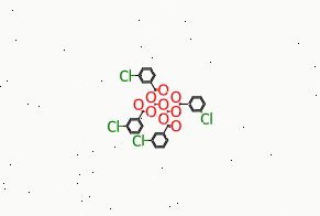 O=C(OC(OC(=O)c1cccc(Cl)c1)OC(OC(=O)c1cccc(Cl)c1)OC(=O)c1cccc(Cl)c1)c1cccc(Cl)c1